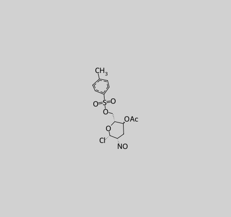 CC(=O)O[C@H]1C[C@H](N=O)[C@H](Cl)O[C@@H]1COS(=O)(=O)c1ccc(C)cc1